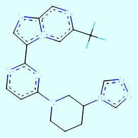 FC(F)(F)c1cn2c(-c3nccc(N4CCCC(n5cnnc5)C4)n3)cnc2cn1